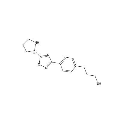 SCCCc1ccc(-c2noc([C@@H]3CCCN3)n2)cc1